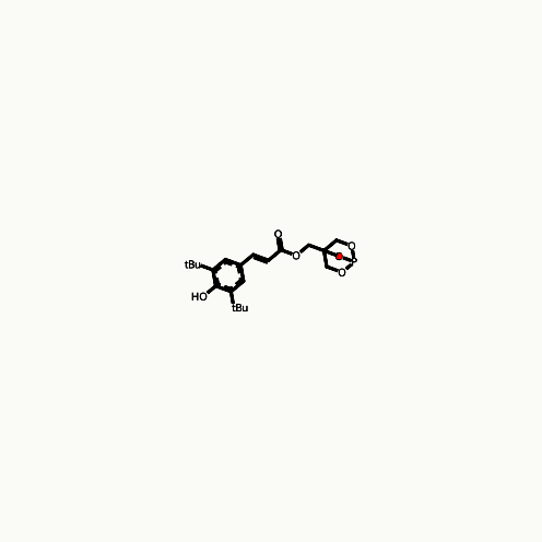 CC(C)(C)c1cc(C=CC(=O)OCC23COP(OC2)OC3)cc(C(C)(C)C)c1O